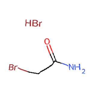 Br.NC(=O)CBr